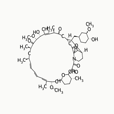 CO[C@H]1C[C@@H]2CC[C@@H](C)[C@@](O)(O2)C(=O)C(=O)N2CC[C@H]3C[C@H]2C(=O)C[C@@H](CC(=O)[C@H](C)/C=C(\C)[C@@H](O)[C@@H](OC)C(=O)[C@H](C)C[C@H](C)/C=C/C=C/C=C/1C)C3C[C@@H]1CC[C@@H](O)[C@H](OC)C1